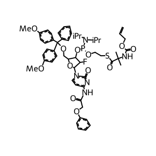 C=CCOC(=O)NC(C)(C)C(=O)SCCOP(OC1C(COC(c2ccccc2)(c2ccc(OC)cc2)c2ccc(OC)cc2)OC(n2ccc(NC(=O)COc3ccccc3)nc2=O)C1F)N(C(C)C)C(C)C